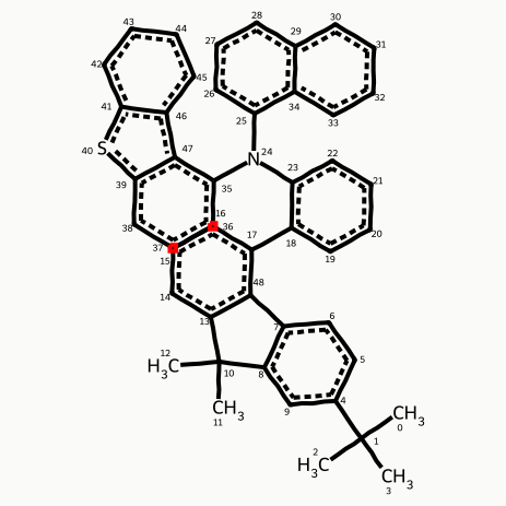 CC(C)(C)c1ccc2c(c1)C(C)(C)c1cccc(-c3ccccc3N(c3cccc4ccccc34)c3cccc4sc5ccccc5c34)c1-2